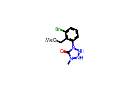 COCc1c(Br)cccc1N1NNN(C)C1=O